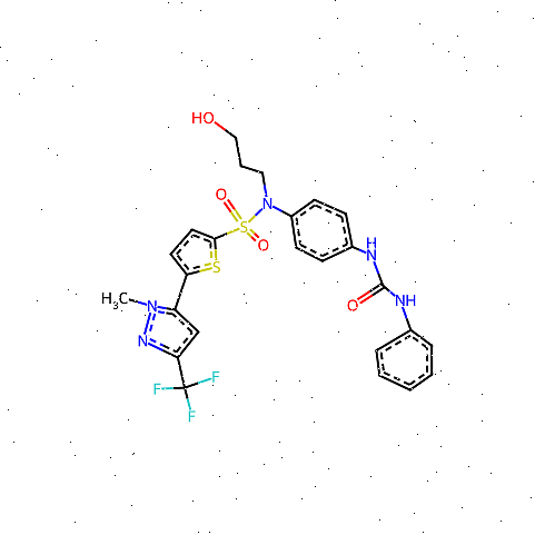 Cn1nc(C(F)(F)F)cc1-c1ccc(S(=O)(=O)N(CCCO)c2ccc(NC(=O)Nc3ccccc3)cc2)s1